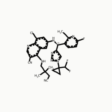 Cc1nc(F)ccc1[C@H](Nc1cc(Cl)c2ncc(C#N)c(NCC(C)(C)CC#N)c2c1)c1cn(C2(C(F)F)CC2)nn1